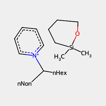 CCCCCCCCCC(CCCCCC)[n+]1ccccc1.C[Si]1(C)CCCCO1